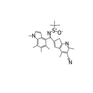 Cc1nc2c(c(C)c1C#N)C=C(/C(=N\[S+]([O-])C(C)(C)C)c1c(C)c(C)c(C)c3c1ccn3C)C2